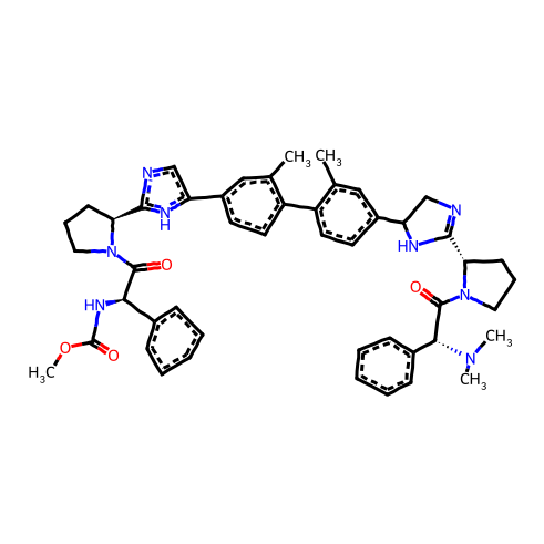 COC(=O)N[C@@H](C(=O)N1CCC[C@H]1c1ncc(-c2ccc(-c3ccc(C4CN=C([C@@H]5CCCN5C(=O)[C@@H](c5ccccc5)N(C)C)N4)cc3C)c(C)c2)[nH]1)c1ccccc1